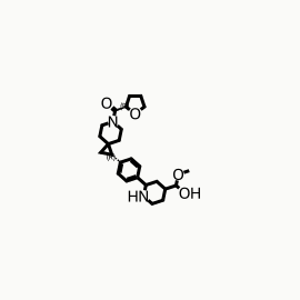 COC(O)C1CCNC(c2ccc([C@@H]3CC34CCN(C(=O)[C@H]3CCCO3)CC4)cc2)C1